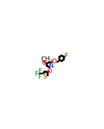 COc1cc(OCc2ccc(F)cc2)nc(Oc2csc(C(F)(F)F)c2)c1